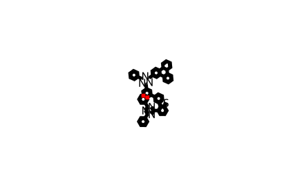 C1=CC2c3ccccc3-c3cc(-c4nc(-c5ccccc5)nc(-c5cccc(-c6ccc7sc8cccc(-c9nc(-c%10ccccc%10)nc(-c%10ccccc%10)n9)c8c7c6)c5)n4)ccc3C2C=C1